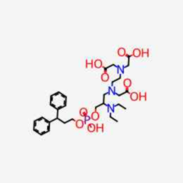 CCN(CC)C(COP(=O)(O)OCCC(c1ccccc1)c1ccccc1)CN(CCN(CC(=O)O)CC(=O)O)CC(=O)O